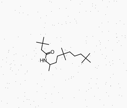 CC(CCC(C)(C)CCCC(C)(C)C)NC(=O)CC(C)(C)C